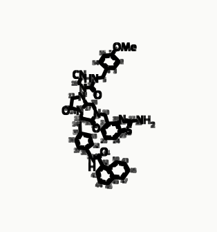 COc1ccc(CNC(=O)N(CC#N)N2CC(=O)N3C2CN(Cc2cccc4sc(N)nc24)C(=O)[C@@H]3Cc2ccc(NC(=O)c3cccc4ccccc34)cc2)cc1